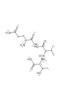 CC(C)C(N)C(=O)O.CC(O)C(N)C(=O)O.NC(=O)CCC(N)C(=O)O